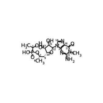 CC(O)P(=O)(O)O[C@@H](C)C[C@H]1OC(n2cnc3c(=O)n(C)c(N)nc32)[C@H](O)[C@@H]1O